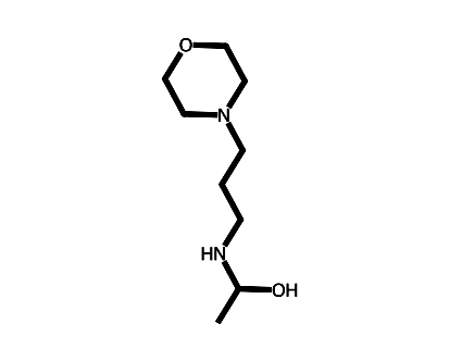 CC(O)NCCCN1CCOCC1